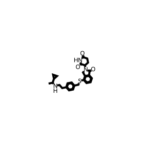 CC(NCCc1ccc(CSc2cccc3c2CN(C2CCC(=O)NC2=O)C3=O)cc1)C1CC1